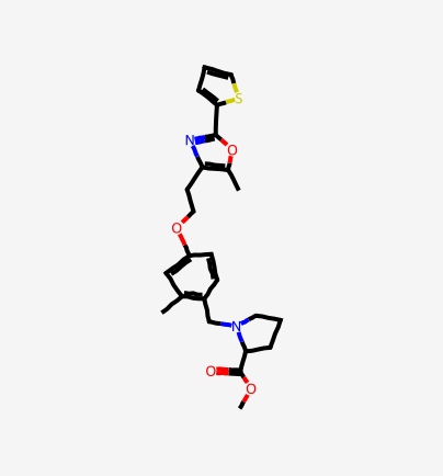 COC(=O)C1CCCN1Cc1ccc(OCCc2nc(-c3cccs3)oc2C)cc1C